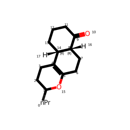 CCCC1CCC2=C(CC[C@H]3C(=O)CCC[C@@H]23)O1